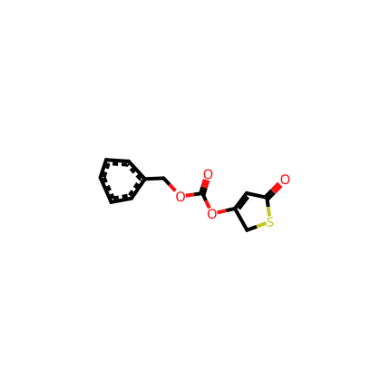 O=C(OCc1ccccc1)OC1=CC(=O)SC1